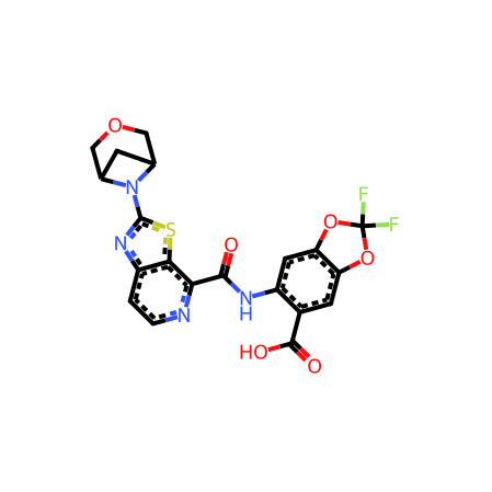 O=C(O)c1cc2c(cc1NC(=O)c1nccc3nc(N4C5COCC4C5)sc13)OC(F)(F)O2